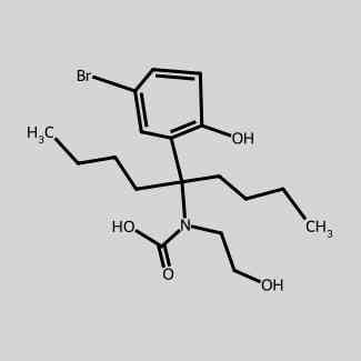 CCCCC(CCCC)(c1cc(Br)ccc1O)N(CCO)C(=O)O